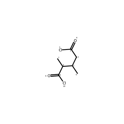 CC(CC(=O)Cl)C(C)C(=O)Cl